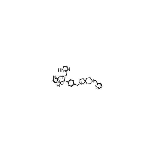 O=C(c1ccc(CN2CCC3(CCN(Cc4cccs4)CC3)C2)cc1)N(Cc1ncc[nH]1)Cc1ncc[nH]1